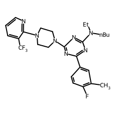 CCCCN(CC)c1nc(-c2ccc(F)c(C)c2)nc(N2CCN(c3ncccc3C(F)(F)F)CC2)n1